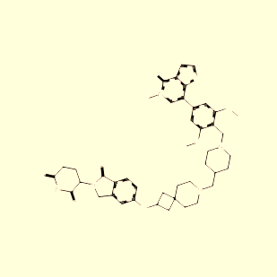 COc1cc(-c2cn(C)c(=O)c3ccsc23)cc(OC)c1CN1CCC(CN2CCC3(CC2)CC(Oc2ccc4c(c2)CN(C2CCC(=O)NC2=O)C4=O)C3)CC1